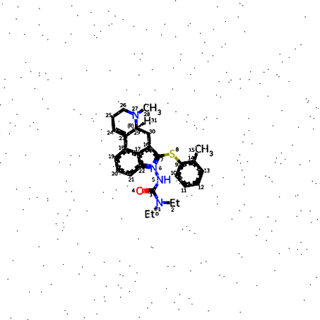 CCN(CC)C(=O)Nn1c(Sc2ccccc2C)c2c3c(cccc31)C1=CCCN(C)[C@@H]1C2